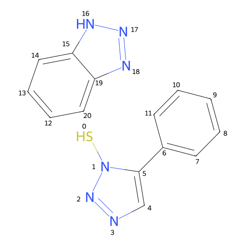 Sn1nncc1-c1ccccc1.c1ccc2[nH]nnc2c1